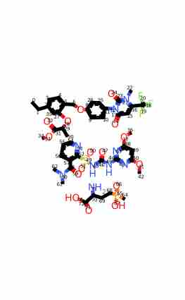 CCc1ccc(COc2ccc(-n3c(=O)cc(C(F)(F)F)n(C)c3=O)cc2)c(OC(C)C(=O)OC)c1.COc1cc(OC)nc(NC(=O)NS(=O)(=O)c2ncccc2C(=O)N(C)C)n1.CP(=O)(O)CCC(N)C(=O)O